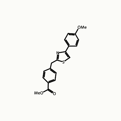 COC(=O)c1ccc(Cc2nc(-c3ccc(OC)cc3)cs2)cc1